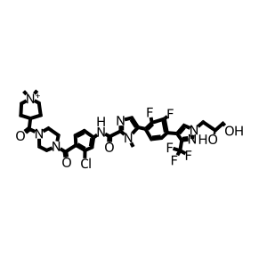 Cn1c(-c2ccc(-c3cn(C[C@H](O)CO)nc3C(F)(F)F)c(F)c2F)cnc1C(=O)Nc1ccc(C(=O)N2CCN(C(=O)C3CC[N+](C)(C)CC3)CC2)c(Cl)c1